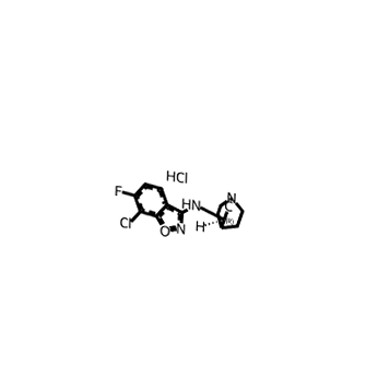 Cl.Fc1ccc2c(N[C@H]3CN4CCC3CC4)noc2c1Cl